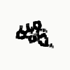 Cc1cnc(N[C@@]2(C)CCC[C@@H]2NC(=O)c2c(Cl)cccc2-n2nccn2)cn1